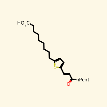 CCCCCC(=O)/C=C/c1ccc(CCCCCCCCC(=O)O)s1